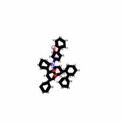 c1ccc(-c2cccc(-c3ccccc3N(c3cccc(-c4ccccc4-c4ccccc4)c3)c3ccc4c(c3)oc3ccccc34)c2)cc1